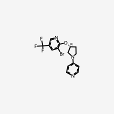 FC(F)(F)c1cnc(O[C@@H]2CCN(c3ccncc3)C2)c(Br)c1